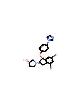 O[C@@H]1CCN([C@H]2Cc3c(Cl)cc(Cl)cc3[C@@H]2Oc2ccc(-n3ccnc3)cc2)C1